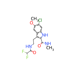 CNC(=O)c1[nH]c2cc(Cl)c(OC)cc2c1CCNC(=O)C(F)F